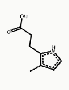 Cc1cc[nH]c1CCC(=O)O